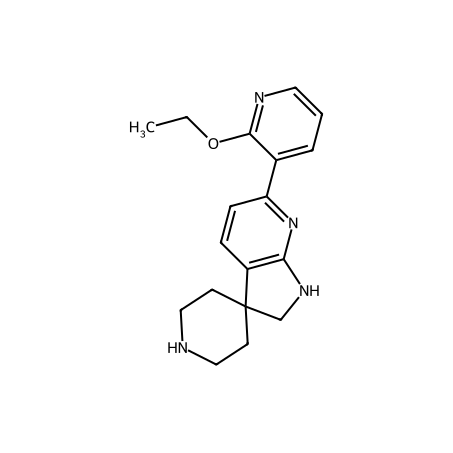 CCOc1ncccc1-c1ccc2c(n1)NCC21CCNCC1